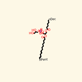 CCCCC/C=C/C/C=C/CCCCCCCC(=O)OC(COC(=O)CCCCCCCCCCCCCCC)COP(=O)(O)OCC(O)CO